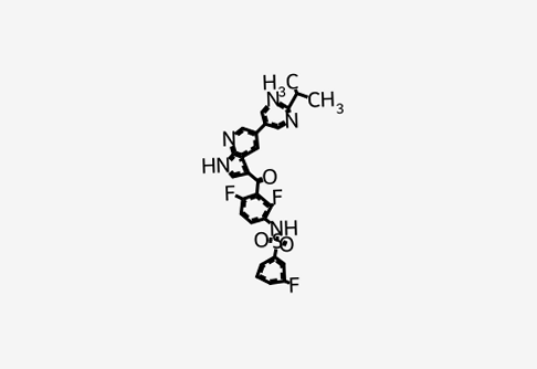 CC(C)c1ncc(-c2cnc3[nH]cc(C(=O)c4c(F)ccc(NS(=O)(=O)c5cccc(F)c5)c4F)c3c2)cn1